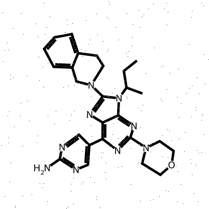 CCC(C)n1c(N2CCc3ccccc3C2)nc2c(-c3cnc(N)nc3)nc(N3CCOCC3)nc21